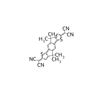 CC1(C)c2cc3c(cc2=c2sc(=C(C#N)C#N)cc21)C(C)(C)c1cc(=C(C#N)C#N)sc1=3